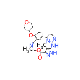 CCOC(=O)c1n[nH]c(Nc2nccc(-c3ccc(OC4CCOCC4)c(C#N)c3)n2)c1C